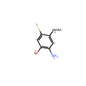 CC(=O)Nc1cc(N)c(Br)cc1F